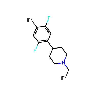 CC(C)CN1CCC(c2cc(F)c(C(C)C)cc2F)CC1